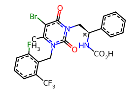 Cc1c(Br)c(=O)n(C[C@H](NC(=O)O)c2ccccc2)c(=O)n1Cc1c(F)cccc1C(F)(F)F